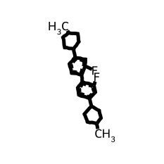 CC1CCC(c2ccc(-c3ccc(C4CCC(C)CC4)cc3F)c(F)c2)CC1